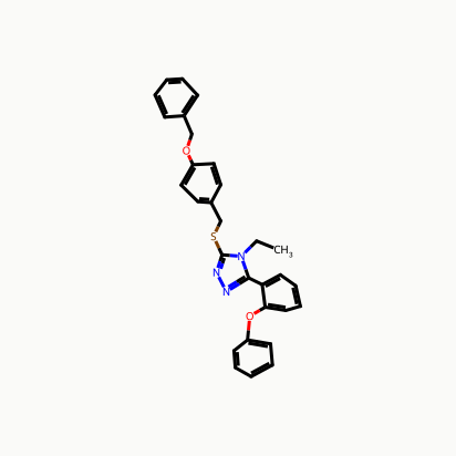 CCn1c(SCc2ccc(OCc3ccccc3)cc2)nnc1-c1ccccc1Oc1ccccc1